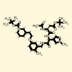 CC(=O)N[C@@H](CC(=O)OC(C)(C)C)C(=O)NC(C(=O)NCc1cc(OCCC2CCCN(C(=O)OC(C)(C)C)C2)ccc1C)c1cnn(C)c1